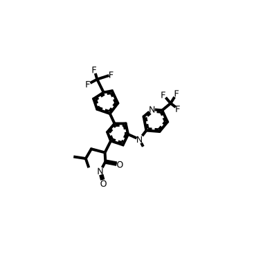 CC(C)CC(C(=O)N=O)c1cc(-c2ccc(C(F)(F)F)cc2)cc(N(C)c2ccc(C(F)(F)F)nc2)c1